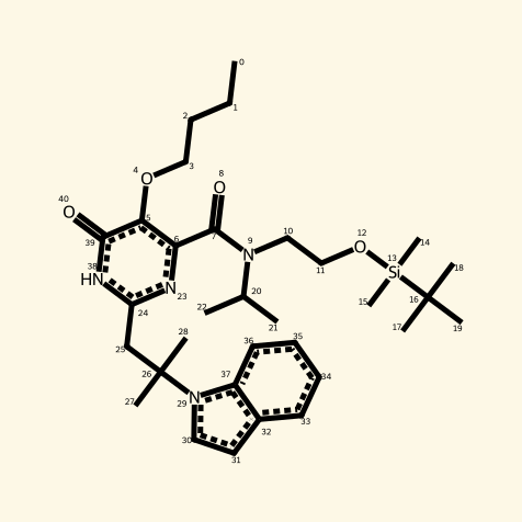 CCCCOc1c(C(=O)N(CCO[Si](C)(C)C(C)(C)C)C(C)C)nc(CC(C)(C)n2ccc3ccccc32)[nH]c1=O